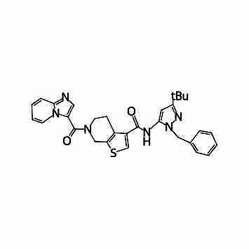 CC(C)(C)c1cc(NC(=O)c2csc3c2CCN(C(=O)c2cnc4ccccn24)C3)n(Cc2ccccc2)n1